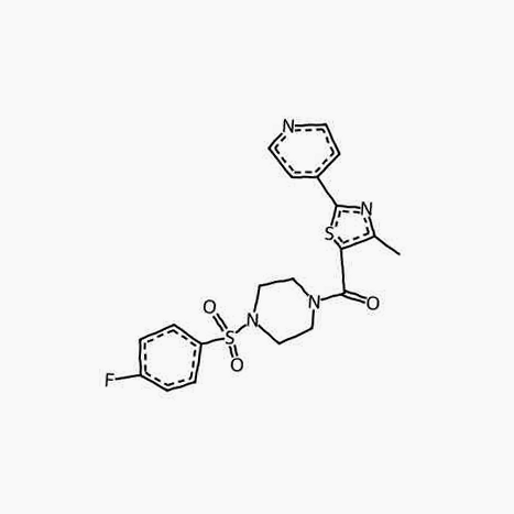 Cc1nc(-c2ccncc2)sc1C(=O)N1CCN(S(=O)(=O)c2ccc(F)cc2)CC1